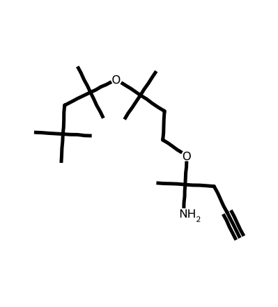 C#CCC(C)(N)OCCC(C)(C)OC(C)(C)CC(C)(C)C